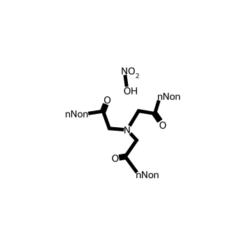 CCCCCCCCCC(=O)CN(CC(=O)CCCCCCCCC)CC(=O)CCCCCCCCC.O=[N+]([O-])O